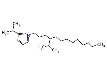 CCCCCCCCCC(CCC[n+]1cccc(C(C)C)c1)C(C)C